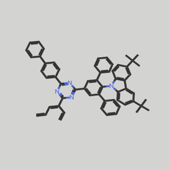 C=C/C=C(\C=C)c1nc(-c2ccc(-c3ccccc3)cc2)nc(-c2cc(-c3ccccc3)c(-n3c4ccc(C(C)(C)C)cc4c4cc(C(C)(C)C)ccc43)c(-c3ccccc3)c2)n1